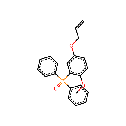 C=CCOc1ccc(OC)c(P(=O)(c2ccccc2)c2ccccc2)c1